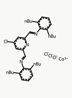 CCCCc1cccc(CCCC)c1N=Cc1cc(Cl)cc(C=Nc2c(CCCC)cccc2CCCC)n1.[Cl-].[Cl-].[Cl-].[Co+3]